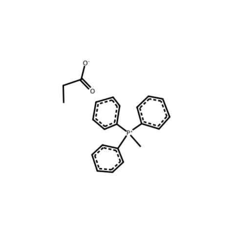 CCC(=O)[O-].C[P+](c1ccccc1)(c1ccccc1)c1ccccc1